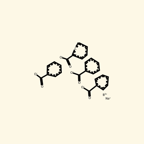 O=C([O-])c1ccccc1.O=C([O-])c1ccccc1.O=C([O-])c1ccccc1.O=C([O-])c1ccccc1.[B+3].[Na+]